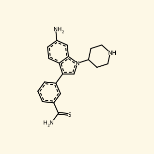 NC(=S)c1cccc(-c2cn(C3CCNCC3)c3cc(N)ccc23)c1